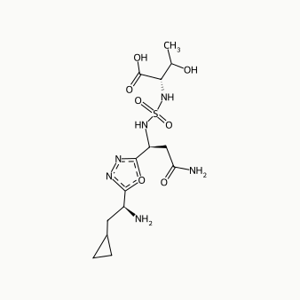 CC(O)[C@H](NS(=O)(=O)N[C@@H](CC(N)=O)c1nnc([C@@H](N)CC2CC2)o1)C(=O)O